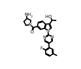 Cc1ccc(F)c(-c2cnc(-n3cc(C(C)O)c4ccc(C(=O)N5CCC(N)C5)cc43)nc2)c1